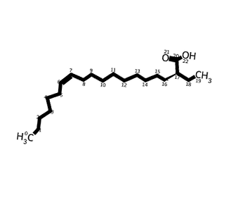 CCCCCC/C=C\CCCCCCCC[CH][C@H](CC)C(=O)O